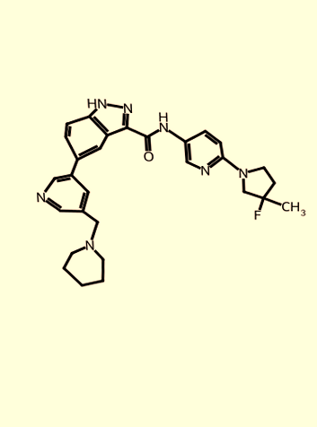 CC1(F)CCN(c2ccc(NC(=O)c3n[nH]c4ccc(-c5cncc(CN6CCCCC6)c5)cc34)cn2)C1